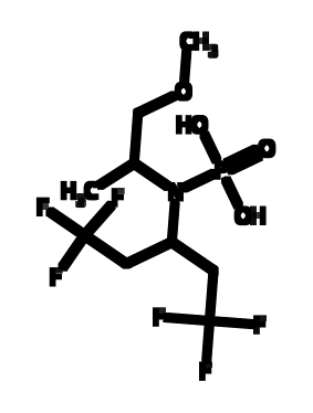 COCC(C)N(C(CC(F)(F)F)CC(F)(F)F)P(=O)(O)O